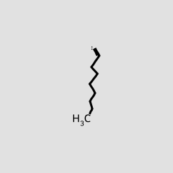 [C]=CCCCCCCC